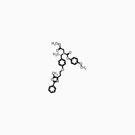 COC(=O)CN(C(=O)Oc1ccc(OC)cc1)[C@@H](C)c1ccc(OCCc2nc(-c3ccccc3)oc2C)cc1